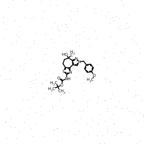 COc1ccc(Cn2cc3c(n2)C(C)(O)CCc2sc(NC(=O)OC(C)(C)C)nc2-3)cc1